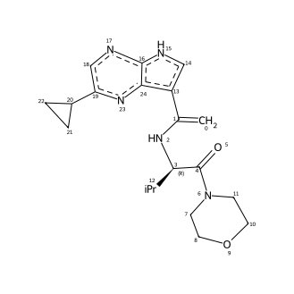 C=C(N[C@@H](C(=O)N1CCOCC1)C(C)C)c1c[nH]c2ncc(C3CC3)nc12